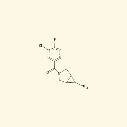 NC1C2CN(C(=O)c3ccc(F)c(Cl)c3)CC12